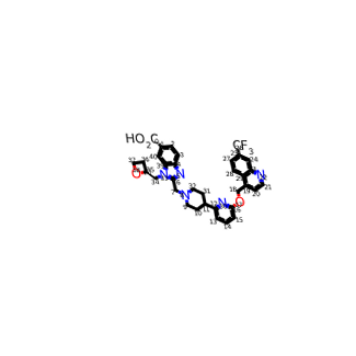 O=C(O)c1ccc2nc(CN3CCC(c4cccc(OCc5ccnc6cc(C(F)(F)F)ccc56)n4)CC3)n(C[C@@H]3CCO3)c2c1